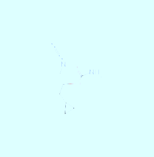 [N-]=[N+]=NC[C@@H](CC1CC1)OC(N)=O